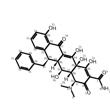 CN(C)[C@@H]1C(=O)C(C(N)=O)=C(O)[C@@]2(O)C(O)=C3C(=O)c4c(O)cccc4[C@H](Cc4ccccc4)[C@H]3[C@H](O)[C@@H]12